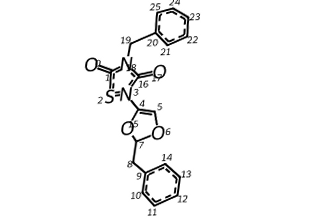 O=c1sn(C2=COC(Cc3ccccc3)O2)c(=O)n1Cc1ccccc1